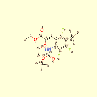 CCOC(=O)/C(=C/c1c(F)c([Si](C)(C)C)c(F)c(F)c1NC(=O)OC(C)(C)C)OCC